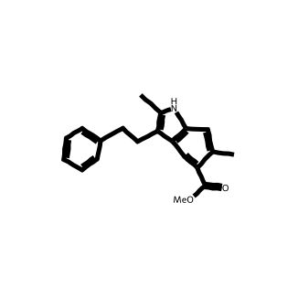 COC(=O)c1cc2c(CCc3ccccc3)c(C)[nH]c2cc1C